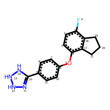 Fc1ccc(Oc2ccc(C3=NNNN3)cc2)c2c1CCC2